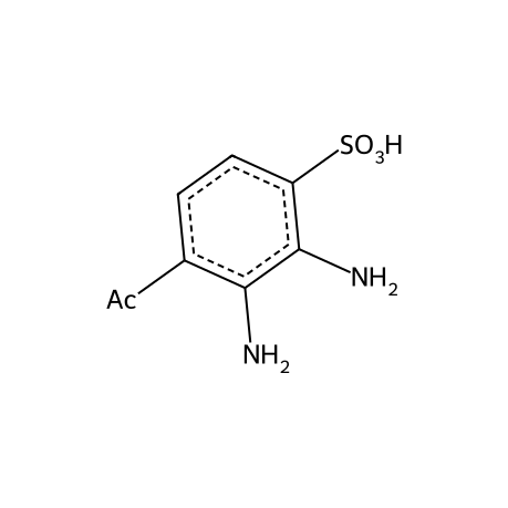 CC(=O)c1ccc(S(=O)(=O)O)c(N)c1N